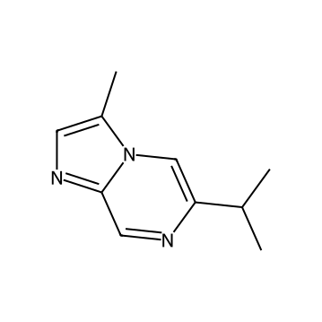 Cc1cnc2cnc(C(C)C)cn12